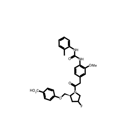 COc1cc(CC(=O)N2CC(F)C[C@H]2COc2ccc(C(=O)O)cc2)ccc1NC(=O)Nc1ccccc1C